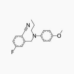 CCCN(Cc1cc(F)ccc1C#N)c1ccc(OC)cc1